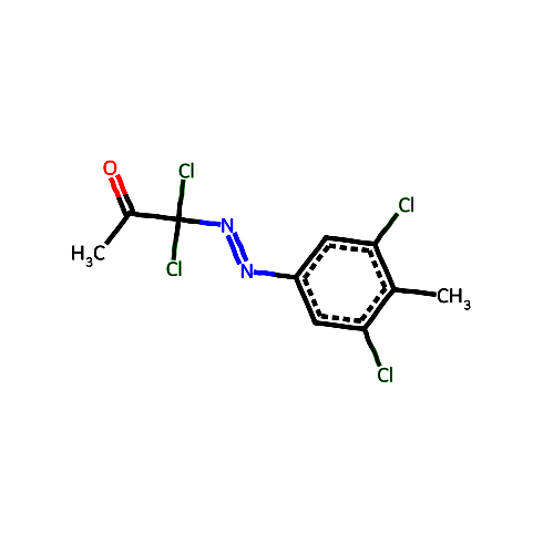 CC(=O)C(Cl)(Cl)N=Nc1cc(Cl)c(C)c(Cl)c1